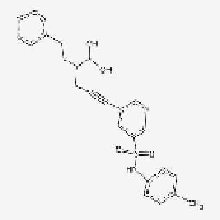 Cc1ccc(NS(=O)(=O)c2cccc(C#CCC(CCc3ccccc3)C(O)O)c2)cc1